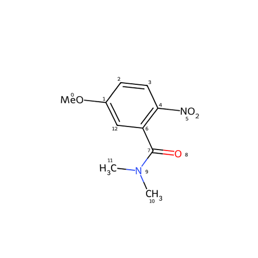 COc1ccc([N+](=O)[O-])c(C(=O)N(C)C)c1